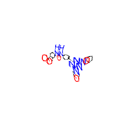 O=C(Nc1ccc(-c2nc(N3CCOCC3)nc(N3CC4CCC(C3)O4)n2)cc1)Nc1ccc2c(c1)COC2=O